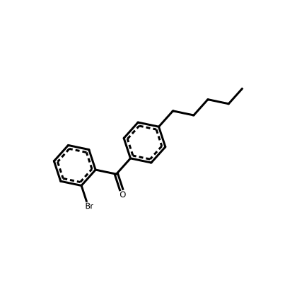 CCCCCc1ccc(C(=O)c2ccccc2Br)cc1